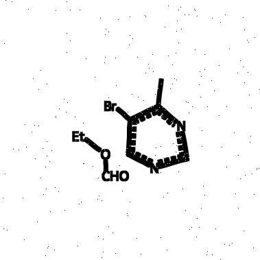 CCOC=O.Cc1ncncc1Br